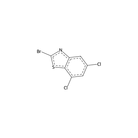 Clc1cc(Cl)c2sc(Br)nc2c1